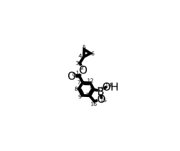 O=C(OCC1CC1)c1ccc2c(c1)B(O)OC2